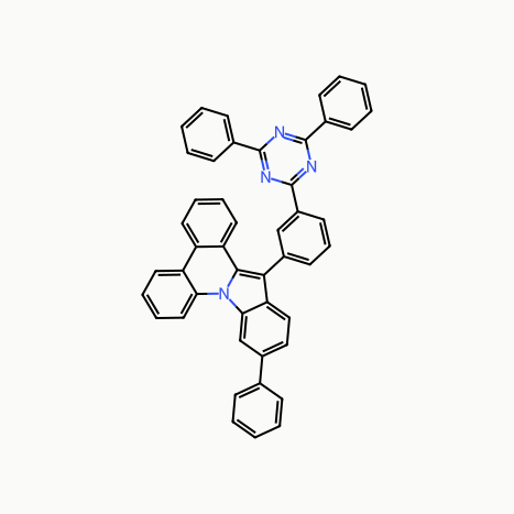 c1ccc(-c2ccc3c(-c4cccc(-c5nc(-c6ccccc6)nc(-c6ccccc6)n5)c4)c4c5ccccc5c5ccccc5n4c3c2)cc1